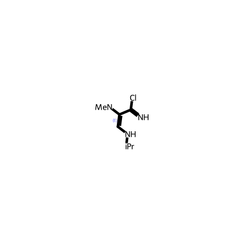 CN/C(=C/NC(C)C)C(=N)Cl